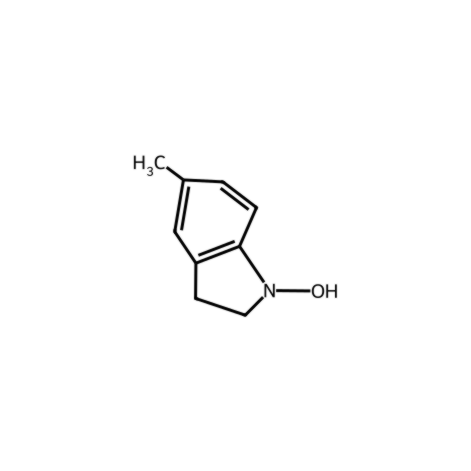 Cc1ccc2c(c1)CCN2O